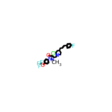 Cn1c(CN2CCC(CC=Cc3ccc(F)cc3)CC2)c(Cl)c(=O)n1-c1ccc(OC(F)(F)F)cc1